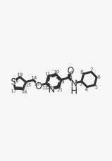 O=C(NC1CCCCC1)c1ccc(OCC2C=CSC2)nc1